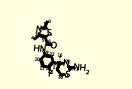 Cc1nc(C)c(C(=O)Nc2ccc(F)c([C@]3(C)CCSC(N)=N3)c2)s1